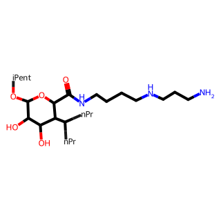 CCCC(C)OC1OC(C(=O)NCCCCNCCCN)C(C(CCC)CCC)C(O)C1O